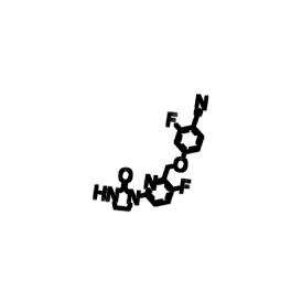 N#Cc1ccc(OCc2nc(N3CCNC3=O)ccc2F)cc1F